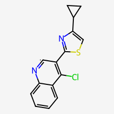 Clc1c(-c2nc(C3CC3)cs2)[c]nc2ccccc12